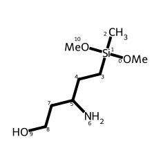 CO[Si](C)(CCC(N)CCO)OC